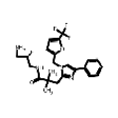 CC(C)([CH]c1nc(-c2ccccc2)cn1Cc1ccc(C(F)(F)F)o1)C(=O)NC[C@H](F)CN